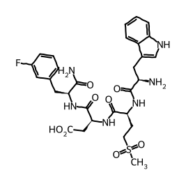 CS(=O)(=O)CC[C@H](NC(=O)[C@H](N)Cc1c[nH]c2ccccc12)C(=O)N[C@@H](CC(=O)O)C(=O)N[C@@H](Cc1cccc(F)c1)C(N)=O